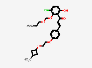 COCCOCOc1c(Cl)ccc(O)c1C(=O)C=Cc1ccc(OCCOC2CC(C(=O)O)C2)cc1